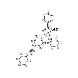 O=C1C(c2ccccc2)=CC(c2ccc(C#Cc3ccccc3)cc2)=C1c1ccccc1